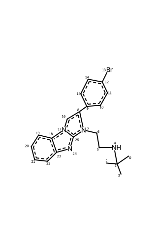 CC(C)(C)NCCn1c(-c2ccc(Br)cc2)cn2c3ccccc3nc12